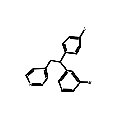 Clc1ccc(C(Cc2ccncc2)c2cccc(Br)c2)cc1